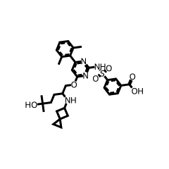 Cc1cccc(C)c1-c1cc(OCC(CCC(C)(C)O)NC2CC3(CC3)C2)nc(NS(=O)(=O)c2cccc(C(=O)O)c2)n1